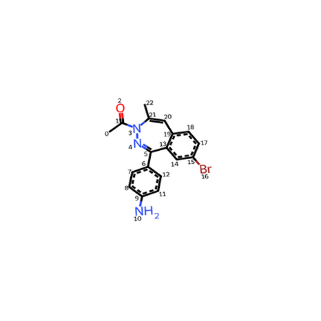 CC(=O)N1N=C(c2ccc(N)cc2)c2cc(Br)ccc2C=C1C